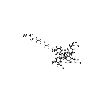 C=C(CCCCCCCCCOc1ccc(CC(NC(=O)c2ccc(F)c(C(F)(F)F)c2)(c2cccc(OC(F)(F)F)c2)c2cccc(OC(F)(F)F)c2)cc1)OC